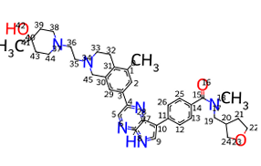 Cc1cc(-c2cnc3[nH]cc(-c4ccc(C(=O)N(C)CC5CCOC5)cc4)c3n2)cc2c1CCN(CCN1CCC(C)(O)CC1)C2